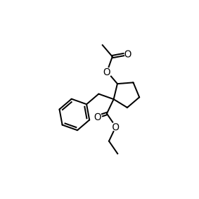 CCOC(=O)C1(Cc2ccccc2)CCCC1OC(C)=O